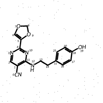 N#Cc1cnc(C2=COCO2)nc1NCCc1ccc(O)cc1